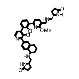 COc1nc(-c2cccc(-c3ccnc(-c4ccc5c(c4)CCCC5NCC4CCC(=O)N4)c3Cl)c2Cl)ccc1CNC[C@H]1CCC(=O)N1